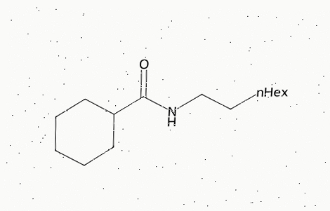 [CH2]CCCCCCCNC(=O)C1CCCCC1